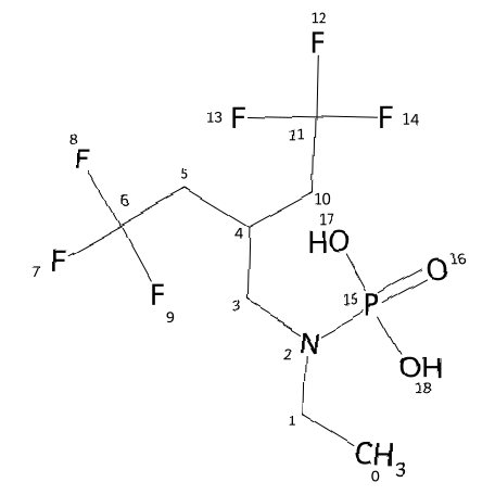 CCN(CC(CC(F)(F)F)CC(F)(F)F)P(=O)(O)O